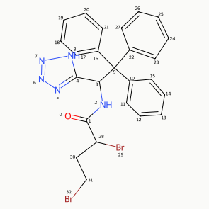 O=C(NC(c1nnn[nH]1)C(c1ccccc1)(c1ccccc1)c1ccccc1)C(Br)CCBr